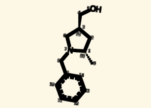 C[C@H]1C[C@H](CO)CN1Cc1ccccc1